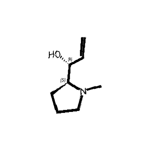 C=C[C@@H](O)[C@@H]1CCCN1C